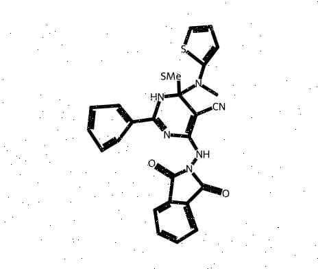 CSC1(N(C)c2cccs2)NC(c2ccccc2)=NC(NN2C(=O)c3ccccc3C2=O)=C1C#N